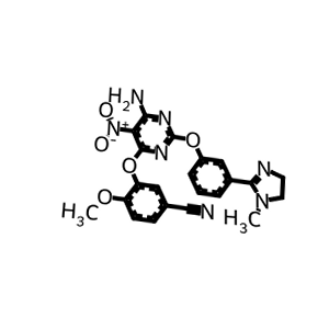 COc1ccc(C#N)cc1Oc1nc(Oc2cccc(C3=NCCN3C)c2)nc(N)c1[N+](=O)[O-]